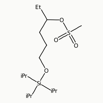 CCC(CCCO[Si](C(C)C)(C(C)C)C(C)C)OS(C)(=O)=O